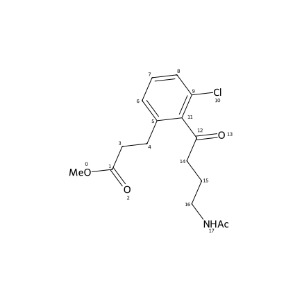 COC(=O)CCc1cccc(Cl)c1C(=O)CCCNC(C)=O